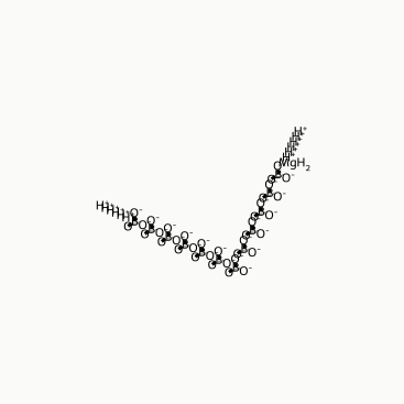 [H+].[H+].[H+].[H+].[H+].[H+].[H+].[H+].[H+].[H+].[H+].[H+].[MgH2].[O-]B([O-])[O-].[O-]B([O-])[O-].[O-]B([O-])[O-].[O-]B([O-])[O-].[O-]B([O-])[O-].[O-]B([O-])[O-].[O-]B([O-])[O-].[O-]B([O-])[O-].[O-]B([O-])[O-].[O-]B([O-])[O-].[O-]B([O-])[O-].[O-]B([O-])[O-]